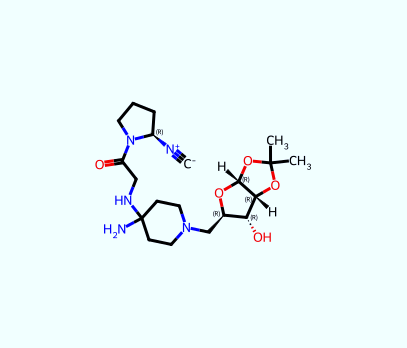 [C-]#[N+][C@@H]1CCCN1C(=O)CNC1(N)CCN(C[C@H]2O[C@@H]3OC(C)(C)O[C@@H]3[C@@H]2O)CC1